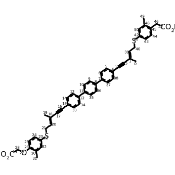 CC(C#Cc1ccc(-c2ccc(-c3ccc(C#CC(C)=CCSc4ccc(OCC(=O)O)c(C)c4)cc3)cc2)cc1)=CCSc1ccc(CC(=O)O)c(C)c1